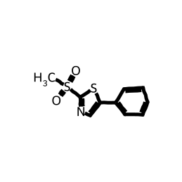 CS(=O)(=O)c1ncc(-c2ccccc2)s1